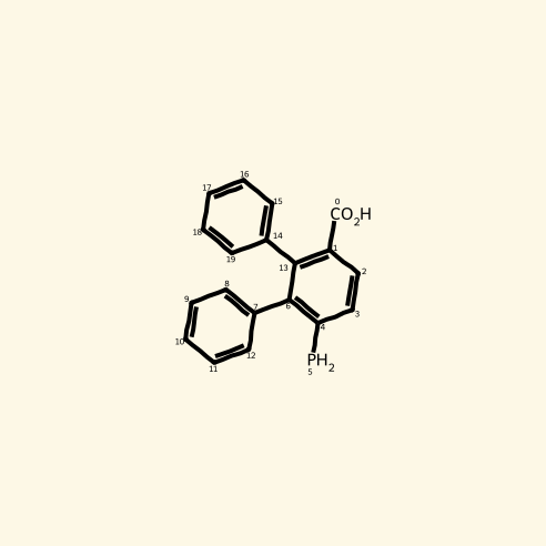 O=C(O)c1ccc(P)c(-c2ccccc2)c1-c1ccccc1